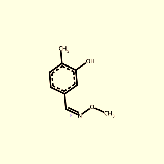 CO/N=C\c1ccc(C)c(O)c1